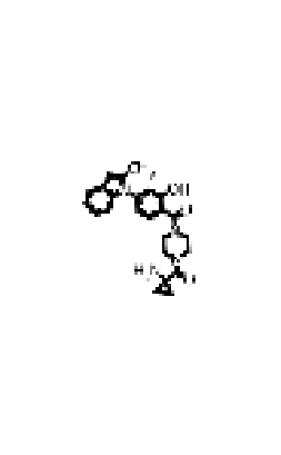 Cc1cc2ccccc2n1-c1ccc(C(=O)N2CCN(C(=O)C3(N)CC3)CC2)c(O)c1